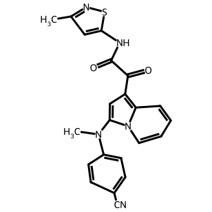 Cc1cc(NC(=O)C(=O)c2cc(N(C)c3ccc(C#N)cc3)n3ccccc23)sn1